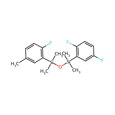 Cc1ccc(F)c([Si](C)(C)O[Si](C)(C)c2cc(F)ccc2F)c1